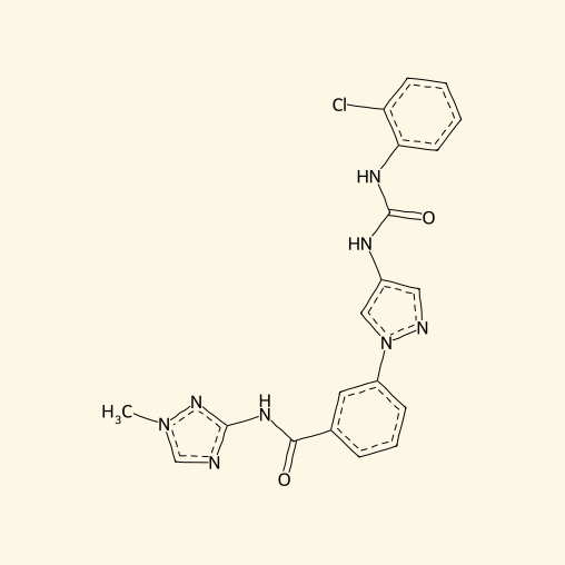 Cn1cnc(NC(=O)c2cccc(-n3cc(NC(=O)Nc4ccccc4Cl)cn3)c2)n1